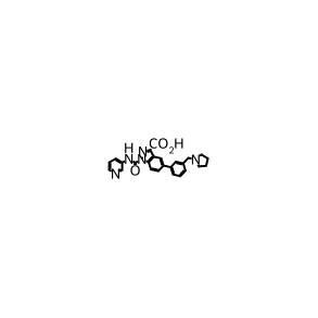 O=C(O)c1nn(C(=O)Nc2cccnc2)c2ccc(-c3cccc(CN4CCCC4)c3)cc12